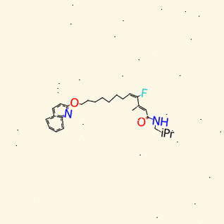 CC(=C\C(=O)NCC(C)C)/C(F)=C\CCCCCCCOc1ccc2ccccc2n1